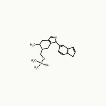 CC1Cc2cnn(-c3ccc4c(c3)C=CC4)c2CC1CO[Si](C)(C)C(C)(C)C